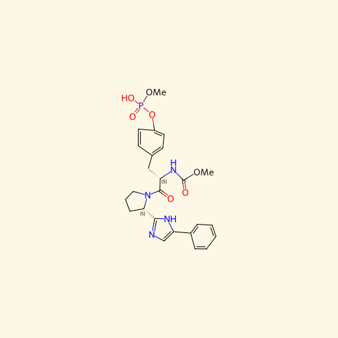 COC(=O)N[C@@H](Cc1ccc(OP(=O)(O)OC)cc1)C(=O)N1CCC[C@H]1c1ncc(-c2ccccc2)[nH]1